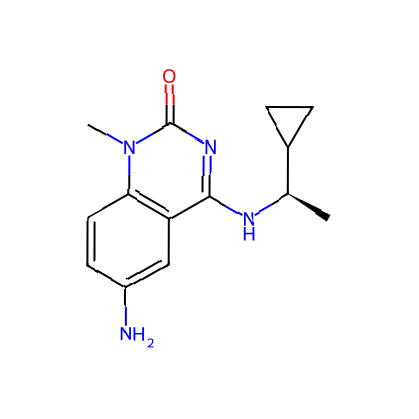 C[C@@H](Nc1nc(=O)n(C)c2ccc(N)cc12)C1CC1